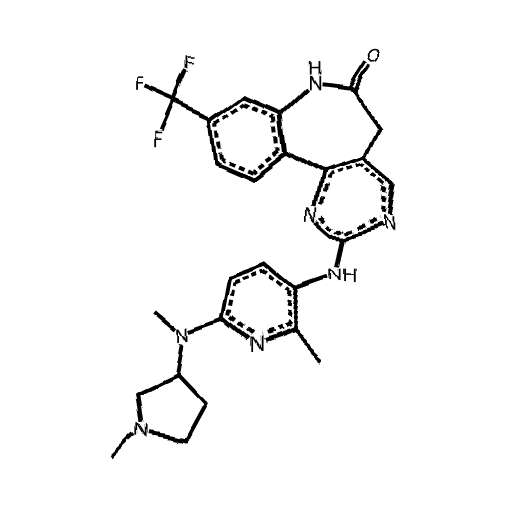 Cc1nc(N(C)C2CCN(C)C2)ccc1Nc1ncc2c(n1)-c1ccc(C(F)(F)F)cc1NC(=O)C2